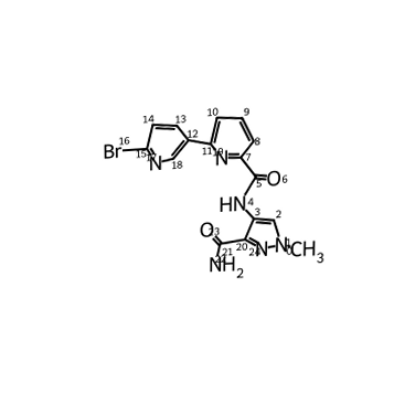 Cn1cc(NC(=O)c2cccc(-c3ccc(Br)nc3)n2)c(C(N)=O)n1